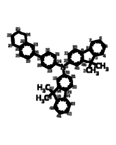 CC1(C)c2ccccc2-c2ccc(N(c3ccc(-c4ccc5c(c4)CCC=C5)cc3)c3ccc4c(c3)C(C)(C)c3ccccc3-4)cc21